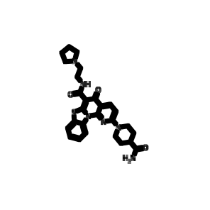 NC(=O)C1CCN(c2ccc3c(=O)c(C(=O)NCCN4CCCC4)c4sc5ccccc5n4c3n2)CC1